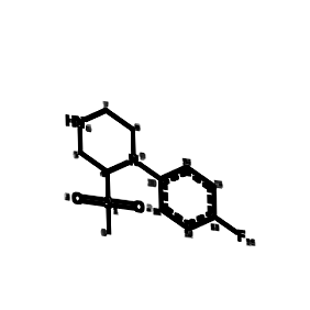 CS(=O)(=O)C1CNCCN1c1ccc(F)cc1